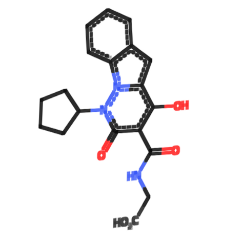 O=C(O)CNC(=O)c1c(O)c2cc3ccccc3n2n(C2CCCC2)c1=O